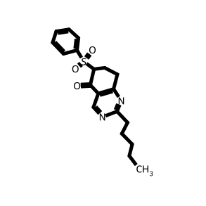 CCCCCc1ncc2c(n1)CCC(S(=O)(=O)c1ccccc1)C2=O